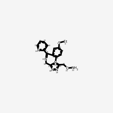 CCSc1ccc2c(c1)C(c1ccccn1)=NCc1nnc(CON)n1-2